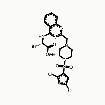 COC(=O)[C@@H](Nc1nc(CN2CCN(S(=O)(=O)c3cc(Cl)sc3Cl)CC2)nc2ccccc12)C(C)C